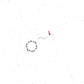 COC(=O)C[C@H](Cl)c1ccc(Br)cc1